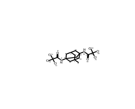 CC12CC3CC(NC(=O)C(Cl)(Cl)Cl)(C1)CC(NC(=O)C(Cl)(Cl)Cl)(C3)C2